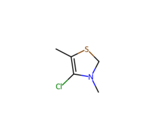 CC1=C(Cl)N(C)CS1